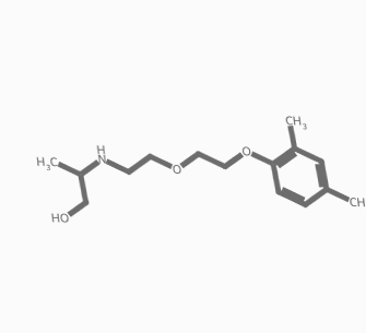 Cc1ccc(OCCOCCNC(C)CO)c(C)c1